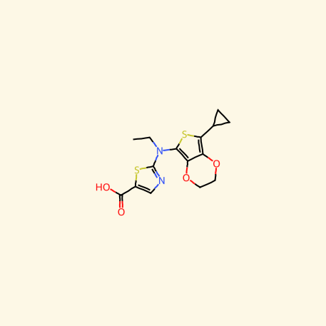 CCN(c1ncc(C(=O)O)s1)c1sc(C2CC2)c2c1OCCO2